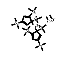 C[O-].C[O-].C[Si](C)(C)C1=C[C]([Ti+2][C]2([Si](C)(C)C)C=C([Si](C)(C)C)C=C2[Si](C)(C)C)([Si](C)(C)C)C([Si](C)(C)C)=C1